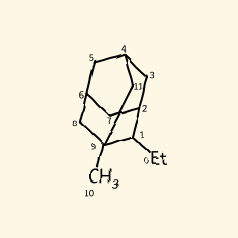 CCC1C2CC3CC(C2)CC1(C)C3